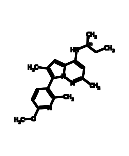 CC[C@H](C)Nc1cc(C)nn2c(-c3ccc(OC)nc3C)c(C)cc12